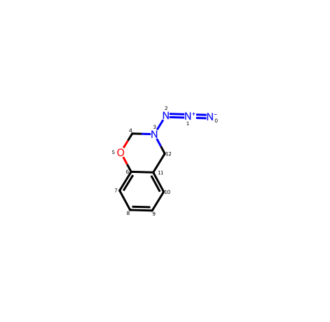 [N-]=[N+]=NN1COc2ccccc2C1